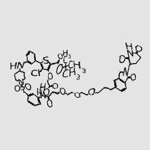 CC(C)(C)OC(=O)c1sc(-c2cccc(NC3CCN(S(=O)(=O)Cc4cccc(NC(=O)CCOCCOCCOCCCc5ccc6c(c5)CN(C5CCC(=O)NC5=O)C6=O)c4)CC3)c2)c(Cl)c1OCC(=O)O